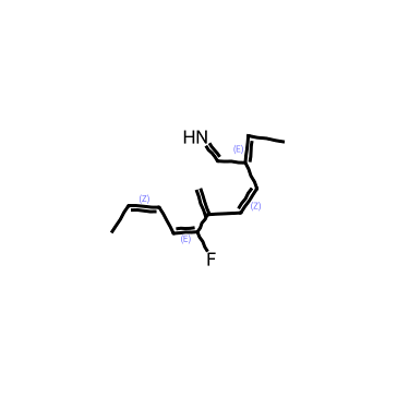 C=C(/C=C\C(C=N)=C/C)/C(F)=C\C=C/C